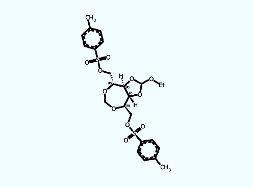 CCOC1O[C@H]2[C@H](O1)[C@@H](COS(=O)(=O)c1ccc(C)cc1)OCO[C@@H]2COS(=O)(=O)c1ccc(C)cc1